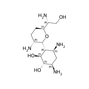 N[C@@H]1CC[C@@H]([C@H](N)CO)OC1[C@H]1[C@H](O)[C@@H](O)[C@H](N)C[C@@H]1N